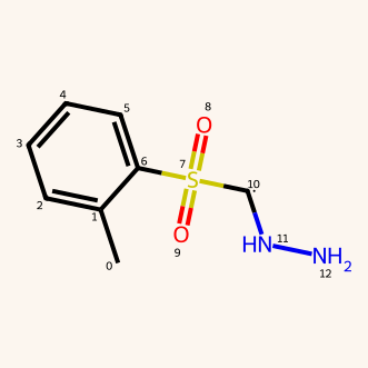 Cc1ccccc1S(=O)(=O)[CH]NN